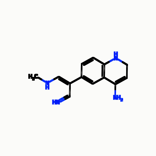 CN/C=C(\C=N)c1ccc2c(c1)C(N)=CCN2